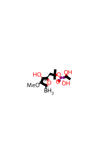 B[C@@H]1O[C@H](CC(C)(C)OP(=O)(O)C(C)O)[C@@H](O)[C@H]1OC